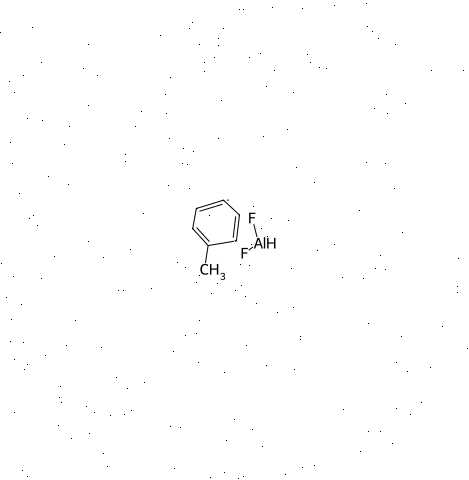 Cc1cc[c]cc1.[F][AlH][F]